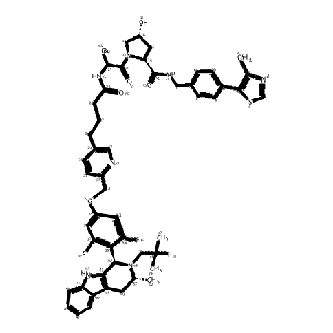 Cc1ncsc1-c1ccc(CNC(=O)[C@@H]2C[C@@H](O)CN2C(=O)C(NC(=O)CCCc2ccc(COc3cc(F)c([C@@H]4c5[nH]c6ccccc6c5C[C@@H](C)N4CC(C)(C)F)c(F)c3)nc2)C(C)(C)C)cc1